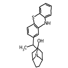 CC(SN1C2CCC1CC(O)C2)c1ccc2c(c1)Nc1ccccc1S2